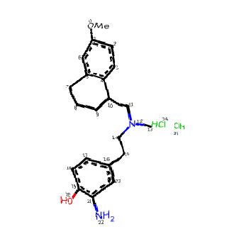 COc1ccc2c(c1)CCCC2CN(C)CCc1ccc(O)c(N)c1.Cl.Cl